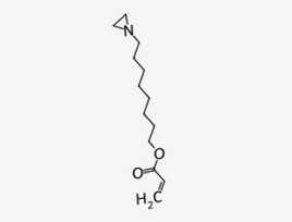 C=CC(=O)OCCCCCCCCN1CC1